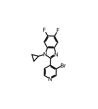 Fc1cc2nc(-c3ccncc3Br)n(C3CC3)c2cc1F